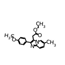 CCOC(=O)Cc1c(-c2ccc(OC)cc2)nc2ccc(C)cn12